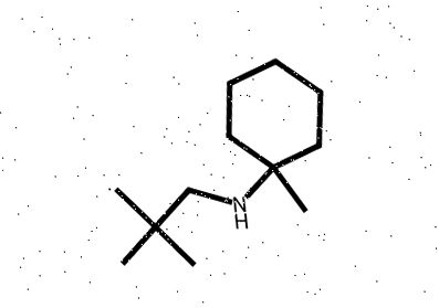 [CH2]C(C)(C)CNC1(C)CCCCC1